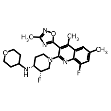 Cc1cc(F)c2nc(N3CC[C@@H](NC4CCOCC4)[C@@H](F)C3)c(-c3nc(C)no3)c(C)c2c1